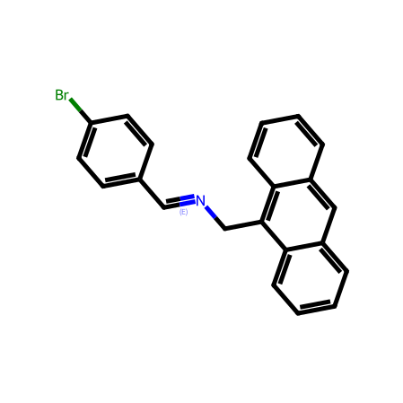 Brc1ccc(/C=N/Cc2c3ccccc3cc3ccccc23)cc1